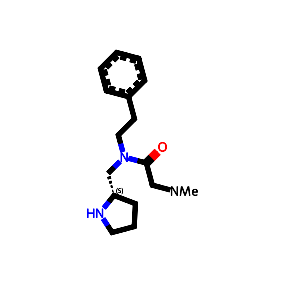 CNCC(=O)N(CCc1ccccc1)C[C@@H]1CCCN1